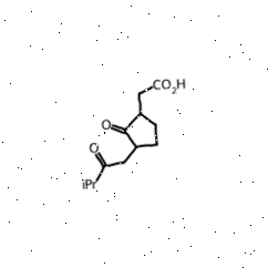 CC(C)C(=O)CC1CCC(CC(=O)O)C1=O